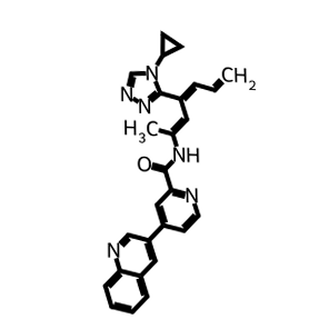 C=C/C=C(\C=C(/C)NC(=O)c1cc(-c2cnc3ccccc3c2)ccn1)c1nncn1C1CC1